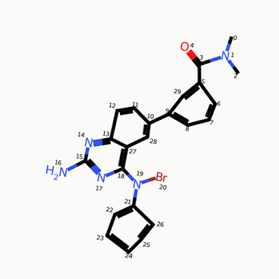 CN(C)C(=O)c1cccc(-c2ccc3nc(N)nc(N(Br)c4ccccc4)c3c2)c1